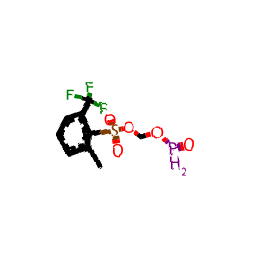 Cc1cccc(C(F)(F)F)c1S(=O)(=O)OCO[PH2]=O